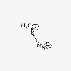 CC1C=C2CC3CC(N=C=NCCCCCN=C=NC45CC6CC7CC(C4)C75C6)(C1)C23